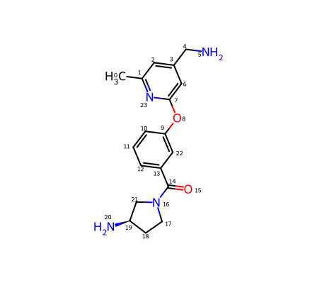 Cc1cc(CN)cc(Oc2cccc(C(=O)N3CC[C@@H](N)C3)c2)n1